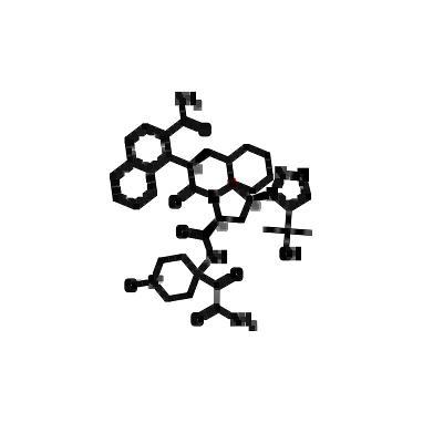 CC(C)(O)c1cnnn1[C@H]1C[C@@H](C(=O)NC2(C(=O)C(N)=O)CC[S+]([O-])CC2)N(C(=O)[C@H](CC2CCCCC2)c2c(C(N)=O)ccc3ccccc23)C1